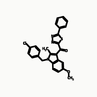 COc1ccc2c(c1)c(C(=O)c1nnc(-c3ccccc3)s1)c(C)n2Cc1ccc(Cl)cc1